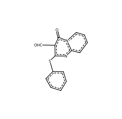 O=Cc1c(Sc2ccccc2)nc2ccccn2c1=O